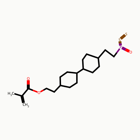 C=C(C)C(=O)OCCC1CCC(C2CCC(CCP(=O)=S=S)CC2)CC1